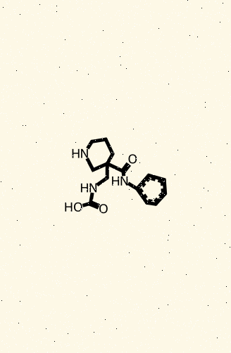 O=C(O)NCC1(C(=O)Nc2ccccc2)CCCNC1